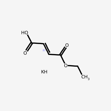 CCOC(=O)/C=C/C(=O)O.[KH]